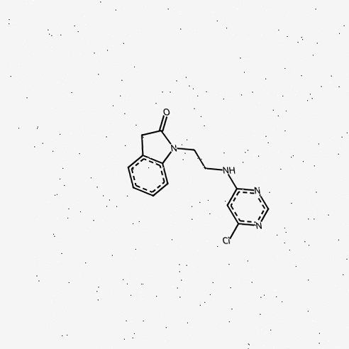 O=C1Cc2ccccc2N1CCNc1cc(Cl)ncn1